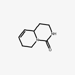 O=C1NCCC2C=CCCN12